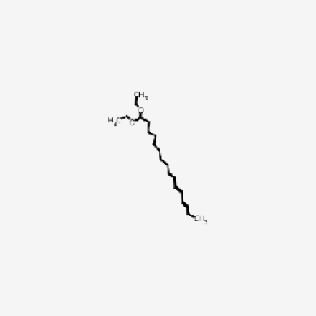 CCC=CC=CCCCCCCCCCC(OCC)OCC